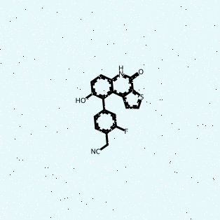 N#CCc1ccc(-c2c(O)ccc3[nH]c(=O)c4sccc4c23)cc1F